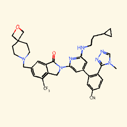 Cn1cnnc1-c1ccc(C#N)cc1-c1cc(NCCC2CC2)nc(N2Cc3c(cc(CN4CCC5(CC4)COC5)cc3C(F)(F)F)C2=O)c1